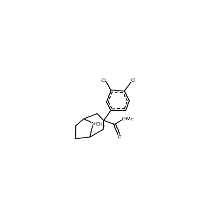 COC(=O)C1(c2ccc(Cl)c(Cl)c2)CC2CCC(C1)N2C